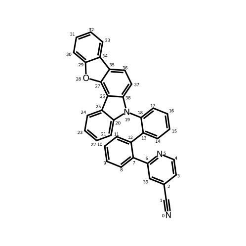 N#Cc1ccnc(-c2ccccc2-c2ccccc2-n2c3ccccc3c3c4oc5ccccc5c4ccc32)c1